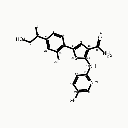 CC(CO)c1ccc(-c2cc(C(N)=O)c(Nc3ccc(F)cn3)s2)c(F)c1